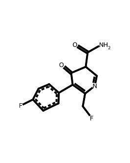 NC(=O)C1C=NC(CF)=C(c2ccc(F)cc2)C1=O